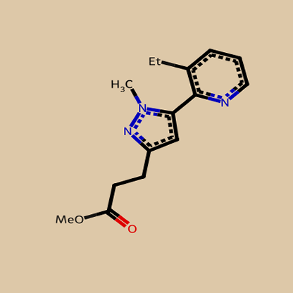 CCc1cccnc1-c1cc(CCC(=O)OC)nn1C